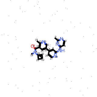 Cc1nccc(Nc2cc(-c3cnc(C)c(C(=O)N(C)C45CC(C4)C5)c3)ccn2)n1